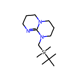 CC(C)(C)[Si](C)(C)CN1CCCN2CCCN=C21